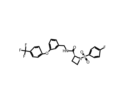 O=C(NCc1cccc(Oc2ccc(C(F)(F)F)cc2)c1)[C@@H]1CCN1S(=O)(=O)c1ccc(F)cc1